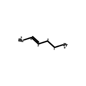 [CH2]C(C)CCC=CC(C)CC